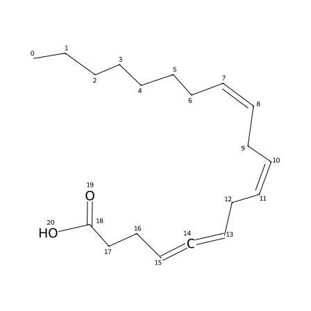 CCCCCCC/C=C\C/C=C\CC=C=CCCC(=O)O